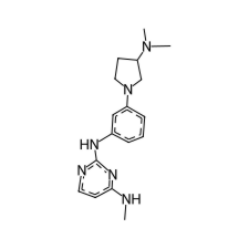 CNc1ccnc(Nc2cccc(N3CCC(N(C)C)C3)c2)n1